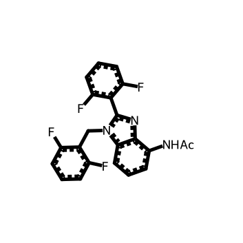 CC(=O)Nc1cccc2c1nc(-c1c(F)cccc1F)n2Cc1c(F)cccc1F